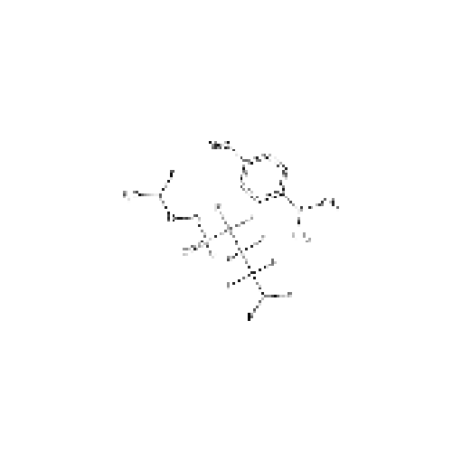 COc1ccc([S+](C)C)cc1.O=S(=O)(OOC(F)C(F)(F)F)C(F)(F)C(F)(F)C(F)(F)C(F)F